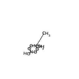 CCCCCCCCCCCCCC(C)(CO)CN1CCOCCOCCN(CCO)CCOCCOCC1